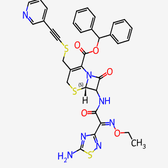 CCON=C(C(=O)NC1C(=O)N2C(C(=O)OC(c3ccccc3)c3ccccc3)=C(CSC#Cc3cccnc3)CS[C@@H]12)c1nsc(N)n1